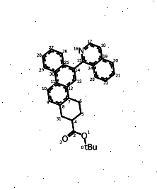 CC(C)(C)OC(=O)C1CCc2c(ccc3c2cc(-c2nccc4ccccc24)c2ccccc23)C1